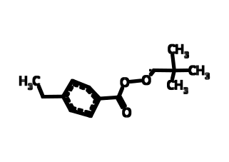 CCc1ccc(C(=O)OO[CH]C(C)(C)C)cc1